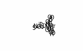 Cc1nc(COc2ccc(C[C@H](NC(=O)O[C@H]3CO[C@H]4OCC[C@H]43)[C@@H](CN(CC(C)C)S(=O)(=O)c3ccc4c(c3)OCO4)C(C)C)cc2)cs1